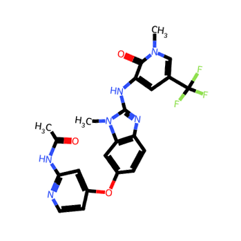 CC(=O)Nc1cc(Oc2ccc3nc(Nc4cc(C(F)(F)F)cn(C)c4=O)n(C)c3c2)ccn1